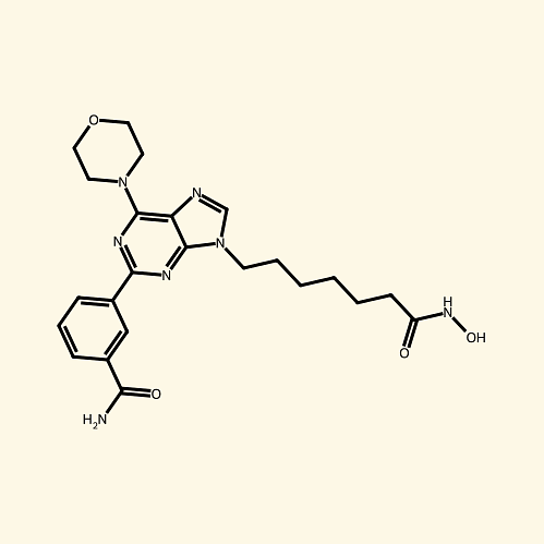 NC(=O)c1cccc(-c2nc(N3CCOCC3)c3ncn(CCCCCCC(=O)NO)c3n2)c1